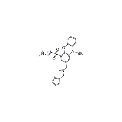 CCCCNc1cc(CNCc2cccs2)cc(S(=O)(=O)/N=C/N(C)C)c1Oc1ccccc1